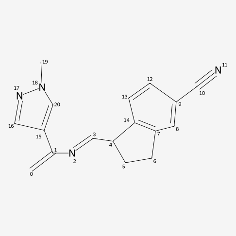 C=C(/N=C/C1CCc2cc(C#N)ccc21)c1cnn(C)c1